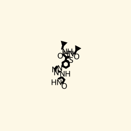 O=C1CC(Nc2nncn2[C@H]2CCc3sc(NC(=O)C4CC4)c(C(=O)NCC4CC4)c3C2)CN1